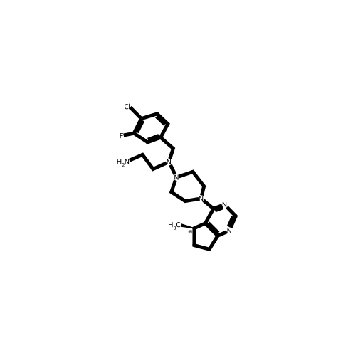 C[C@@H]1CCc2ncnc(N3CCN(N(CCN)Cc4ccc(Cl)c(F)c4)CC3)c21